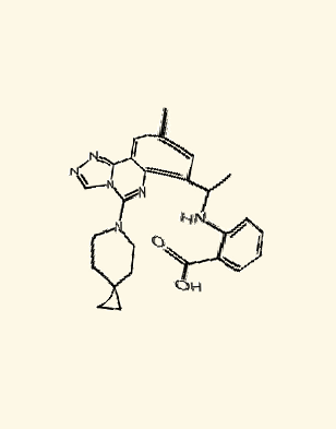 Cc1cc(C(C)Nc2ccccc2C(=O)O)c2nc(N3CCC4(CC3)CC4)n3cnnc3c2c1